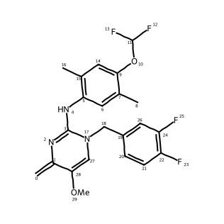 C=C1N=C(Nc2cc(C)c(OC(F)F)cc2C)N(Cc2ccc(F)c(F)c2)C=C1OC